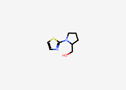 OCC1CCCN1c1nccs1